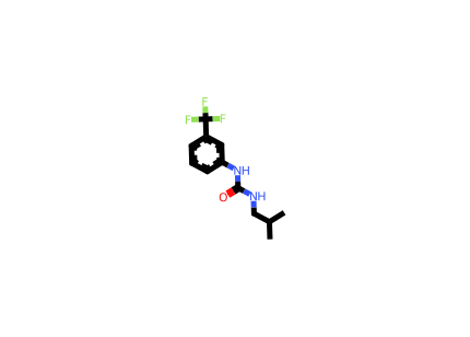 CC(C)CNC(=O)Nc1cccc(C(F)(F)F)c1